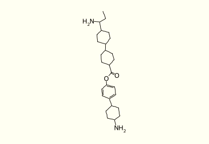 CCC(N)C1CCC(C2CCC(C(=O)Oc3ccc(C4CCC(N)CC4)cc3)CC2)CC1